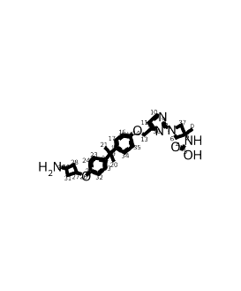 CC1(NC(=O)O)CN(c2nccc(COc3ccc(C(C)(C)c4ccc(OC5CC(N)C5)cc4)cc3)n2)C1